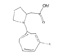 O=C(O)C1CCCN1c1cccc(I)c1